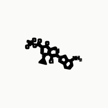 CS(=O)(=O)OC(=O)c1cn(C2CC2)c2c(Cl)c(N3CC4CC=CC(N)C4C3)ncc2c1=O